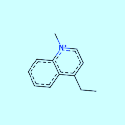 CCc1cc[n+](C)c2ccccc12